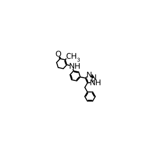 CC1=C(Nc2cccc(-c3nn[nH]c3Cc3ccccc3)c2)CCCC1=O